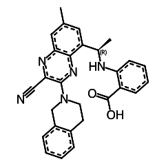 Cc1cc([C@@H](C)Nc2ccccc2C(=O)O)c2nc(N3CCc4ccccc4C3)c(C#N)nc2c1